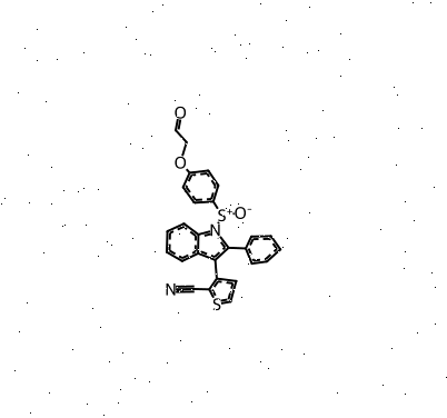 N#Cc1sccc1-c1c(-c2ccccc2)n([S+]([O-])c2ccc(OCC=O)cc2)c2ccccc12